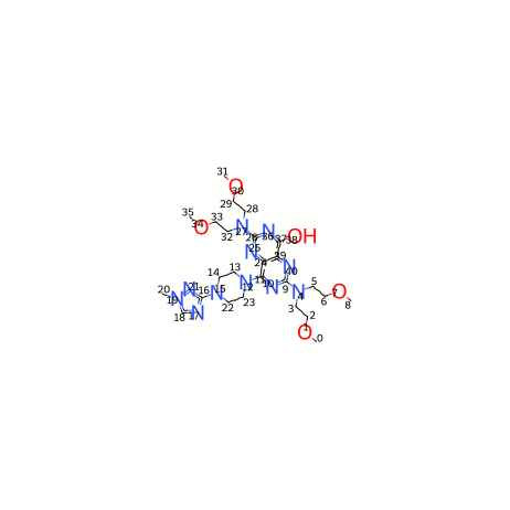 COCCN(CCOC)c1nc(N2CCN(c3ncn(C)n3)CC2)c2nc(N(CCOC)CCOC)nc(O)c2n1